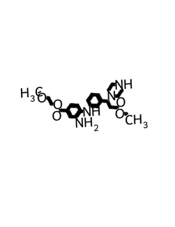 CCOC(=O)CC(c1cccc(Nc2ccc(C(=O)OCCOC)cc2N)c1)N1CCNCC1